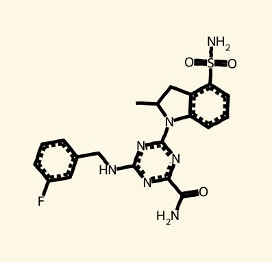 CC1Cc2c(cccc2S(N)(=O)=O)N1c1nc(NCc2cccc(F)c2)nc(C(N)=O)n1